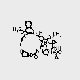 C=C[C@@H]1C[C@]1(NC(=O)[C@@H]1C[C@@H]2CN1C(=O)[C@H](C1CCCC1)NC(=O)O[C@@H]1CCC[C@H]1CCC=CCc1c(nc3ccccc3c1OC)O2)C(=O)NS(=O)(=O)C1CC1